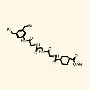 COC(=O)C1CCC(C(=O)NCC(=O)NCC(=O)NCC(=O)Nc2cc(CBr)cc(CBr)c2)CC1